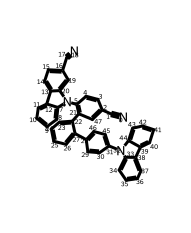 N#Cc1ccc(-n2c3ccccc3c3ccc(C#N)cc32)c(-c2ccccc2-c2ccc(-n3c4ccccc4c4ccccc43)cc2)c1